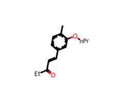 CCCOc1cc(/C=C/C(=O)CC)ccc1C